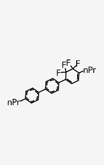 CCCC1=CC=C(c2ccc(-c3ccc(CCC)cc3)cc2)C(F)(F)C1(F)F